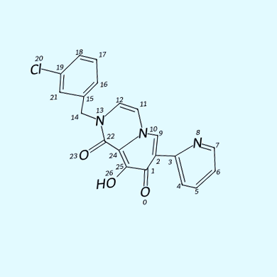 O=c1c(-c2ccccn2)cn2ccn(Cc3cccc(Cl)c3)c(=O)c2c1O